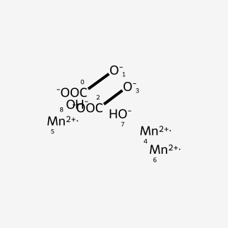 O=C([O-])[O-].O=C([O-])[O-].[Mn+2].[Mn+2].[Mn+2].[OH-].[OH-]